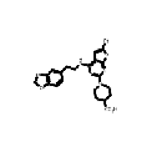 CCc1cc2c(NCCc3ccc4c(c3)OCO4)nc(N3CCC(C(=O)O)CC3)nc2s1